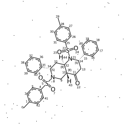 Cc1ccc(S(=O)(=O)N2C[C@H]3C(=O)C[C@@H](c4ccccc4)N(S(=O)(=O)c4ccc(C)cc4)[C@@H]3C[C@H]2c2ccccc2)cc1